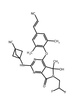 Cc1cc(/C=C/C#N)cc(C)c1Oc1nc(NC23CC(C#N)(C2)C3)nc2c1C(C)(O)N(CC(F)F)C2=O